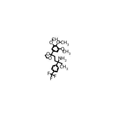 CCC(N)(CCC1(c2cc(OC)c(OC)c(OC)c2)OCCO1)c1ccc(C(F)(F)F)cc1